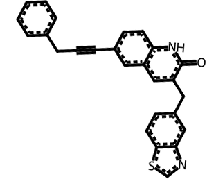 O=c1[nH]c2ccc(C#CCc3ccccc3)cc2cc1Cc1ccc2scnc2c1